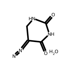 O.[N-]=[N+]=C1CNC(=O)NC1=O